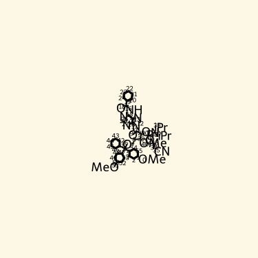 COc1ccc(C(OC[C@H]2O[C@@H](n3cnc4c(NC(=O)c5ccccc5)ncnc43)[C@H](OP(OCCC#N)N(C(C)C)C(C)C)[C@@H]2OC)(c2ccccc2)c2ccc(OC)cc2)cc1